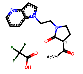 CC(=O)NC(=O)[C@@H]1CCN(CCn2ccc3ncccc32)C1=O.O=C(O)C(F)(F)F